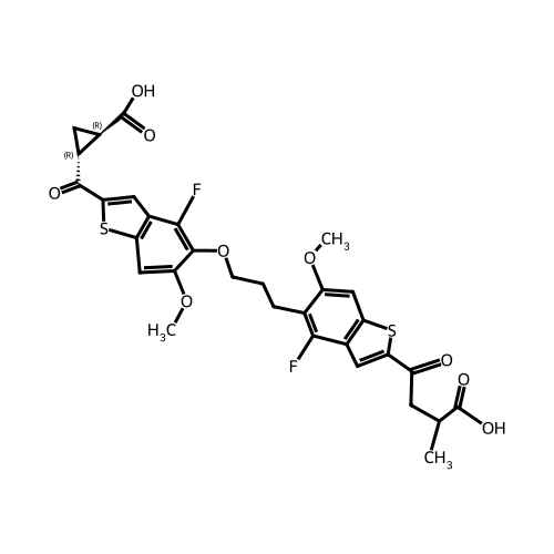 COc1cc2sc(C(=O)CC(C)C(=O)O)cc2c(F)c1CCCOc1c(OC)cc2sc(C(=O)[C@@H]3C[C@H]3C(=O)O)cc2c1F